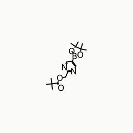 CC(C)(C)C(=O)OCc1ncc(B2OC(C)(C)C(C)(C)O2)cn1